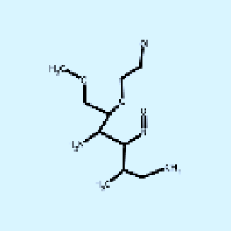 CCC(C)C(N=O)C(N)C(COC)OCCO